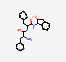 NC(Cc1ccccc1)C(O)CC(Cc1ccccc1)C(=O)NC1c2ccccc2CC1O